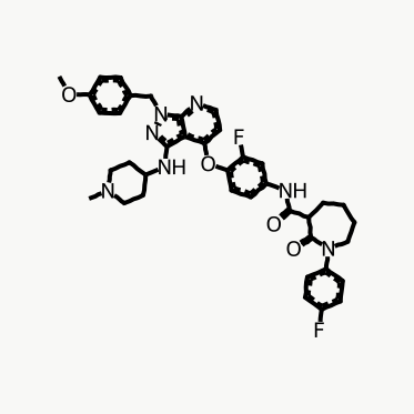 COc1ccc(Cn2nc(NC3CCN(C)CC3)c3c(Oc4ccc(NC(=O)C5CCCCN(c6ccc(F)cc6)C5=O)cc4F)ccnc32)cc1